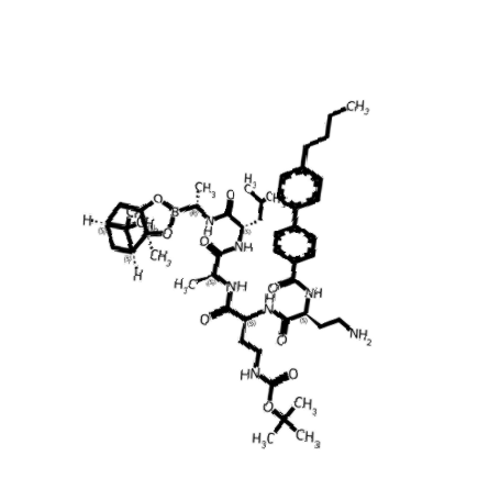 CCCCc1ccc(-c2ccc(C(=O)N[C@@H](CCN)C(=O)N[C@@H](CCNC(=O)OC(C)(C)C)C(=O)N[C@@H](C)C(=O)N[C@@H](CC(C)C)C(=O)N[C@@H](C)B3OC4C[C@@H]5C[C@@H](C5(C)C)[C@]4(C)O3)cc2)cc1